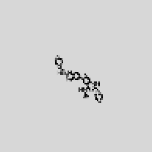 Cc1cc(NCCN2CCOCC2)c(C(=O)NC2CC2)cc1-c1ccc2nc(NCCN3CCOCC3)ncc2c1